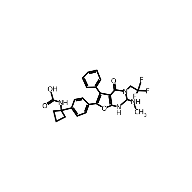 CNC1Nc2oc(-c3ccc(C4(NC(=O)O)CCC4)cc3)c(-c3ccccc3)c2C(=O)N1CC(F)(F)F